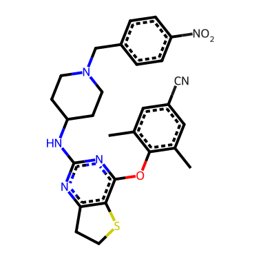 Cc1cc(C#N)cc(C)c1Oc1nc(NC2CCN(Cc3ccc([N+](=O)[O-])cc3)CC2)nc2c1SCC2